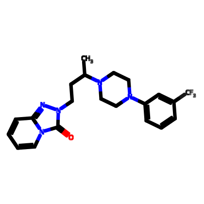 CC(CCn1nc2ccccn2c1=O)N1CCN(c2cccc(C(F)(F)F)c2)CC1